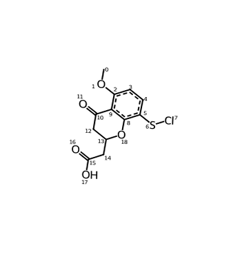 COc1ccc(SCl)c2c1C(=O)CC(CC(=O)O)O2